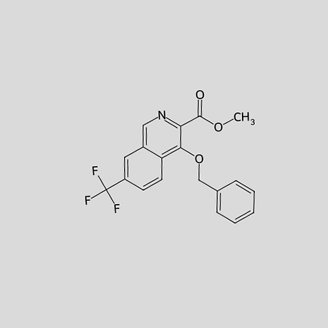 COC(=O)c1ncc2cc(C(F)(F)F)ccc2c1OCc1ccccc1